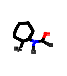 CCC(O)N(CC)C1CCCCCC1C